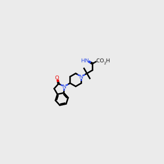 CC(C)(CC(=N)C(=O)O)N1CCC(N2C(=O)Cc3ccccc32)CC1